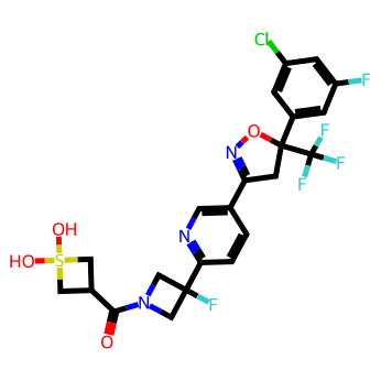 O=C(C1CS(O)(O)C1)N1CC(F)(c2ccc(C3=NOC(c4cc(F)cc(Cl)c4)(C(F)(F)F)C3)cn2)C1